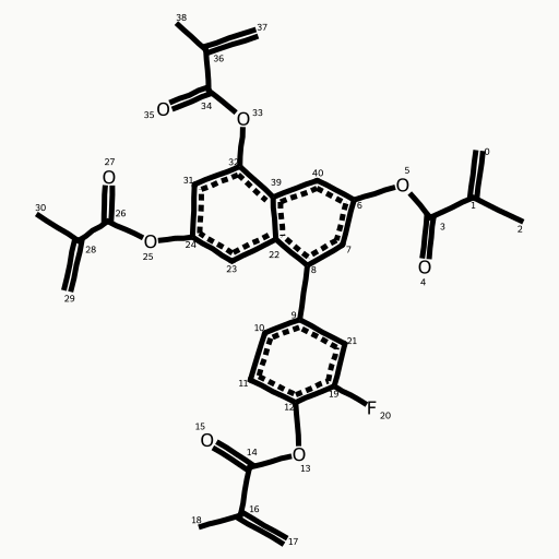 C=C(C)C(=O)Oc1cc(-c2ccc(OC(=O)C(=C)C)c(F)c2)c2cc(OC(=O)C(=C)C)cc(OC(=O)C(=C)C)c2c1